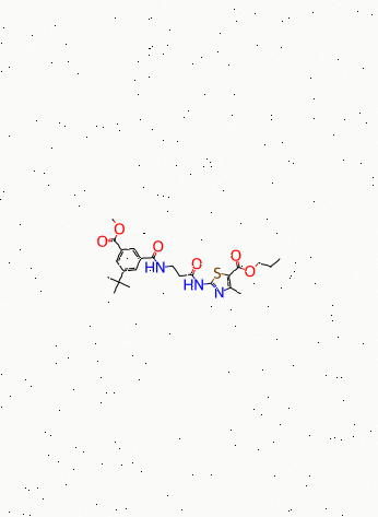 CCCOC(=O)c1sc(NC(=O)CCNC(=O)c2cc(C(=O)OC)cc(C(C)(C)C)c2)nc1C